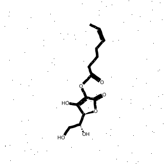 C/C=C\CCCC(=O)OC1=C(O)[C@H]([C@H](O)CO)OC1=O